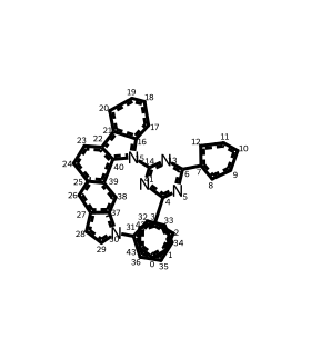 c1ccc(-c2nc(-c3ccccc3)nc(-n3c4ccccc4c4ccc5cc6ccn(-c7ccccc7)c6cc5c43)n2)cc1